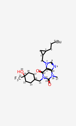 CCC(C)CCC1CC1Cn1cnc2c1c(=O)n(CC1CCC(O)(C(F)(F)F)CC1)c(=O)n2C